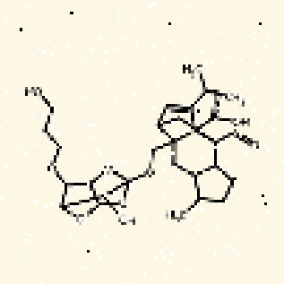 CC(C)C1=CC2CC3(C=O)C4CCC(C)C4CC2(COC24OC5OC(C(OCCCO)C5O2)C4O)C13C(=O)O